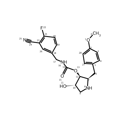 COc1ccc(C[C@H]2NC[C@H](O)[C@H]2OC(=O)NCc2ccc(F)c(C#N)c2)cc1